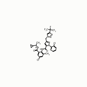 Cc1cc(Cl)cc(C(=O)NC(C)C2CC2)c1NC(=O)c1cc(Cn2cc(C(F)(C(F)(F)F)C(F)(F)F)nn2)nn1-c1ncccc1Cl